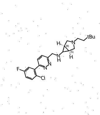 CC(C)(C)CCN1C[C@@H]2C(NCc3ccc(-c4cc(F)ccc4Cl)nn3)[C@@H]2C1